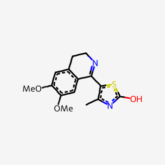 COc1cc2c(cc1OC)C(c1sc(O)nc1C)=NCC2